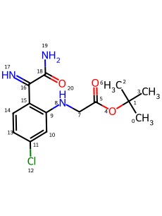 CC(C)(C)OC(=O)CNc1cc(Cl)ccc1C(=N)C(N)=O